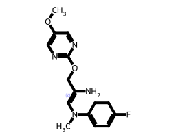 COc1cnc(OC/C(N)=C/N(C)C2=CC=C(F)CC2)nc1